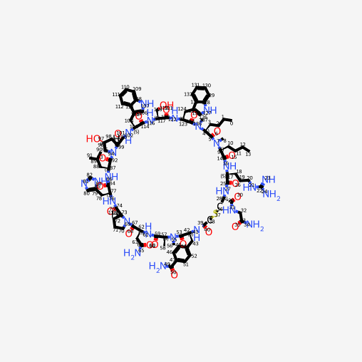 CCCC[C@H]1C(=O)N(C)[C@@H](CCCC)C(=O)N[C@@H](CCCNC(=N)N)C(=O)N[C@H](C(=O)NCC(N)=O)CSCC(=O)N[C@@H](Cc2ccc(C(N)=O)cc2)C(=O)N(C)[C@@H](C)C(=O)N[C@@H](CC(N)=O)C(=O)N2CCC[C@H]2C(=O)N[C@@H](Cc2cnc[nH]2)C(=O)N[C@@H](CC(C)C)C(=O)N2C[C@H](O)C[C@H]2C(=O)N[C@@H](Cc2c[nH]c3ccccc23)C(=O)N[C@@H](CO)C(=O)N[C@@H](Cc2c[nH]c3ccccc23)C(=O)N1C